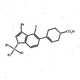 CC(C)c1cn([Si](C(C)C)(C(C)C)C(C)C)c2ccc(C3=CCN(C(=O)O)CC3)c(F)c12